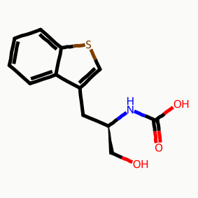 O=C(O)N[C@@H](CO)Cc1csc2ccccc12